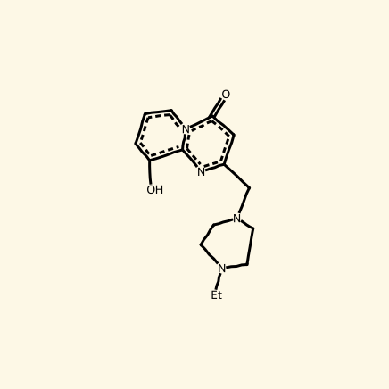 CCN1CCN(Cc2cc(=O)n3cccc(O)c3n2)CC1